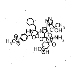 CC(C)(O)c1cnnn1[C@H]1C[C@@H](C(=O)NC2(C(=O)C(N)=O)CCS(O)(O)CC2)N(C(=O)C(CC2CCCCC2)NC(=O)c2ccc(S(C)(=O)=O)cc2)C1